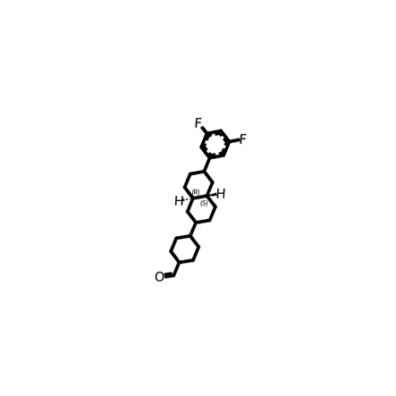 O=CC1CCC(C2CC[C@H]3CC(c4cc(F)cc(F)c4)CC[C@@H]3C2)CC1